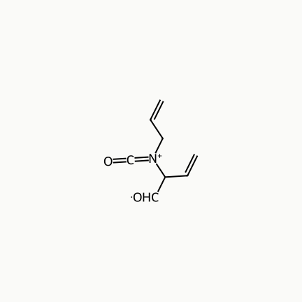 C=CC[N+](=C=O)C([C]=O)C=C